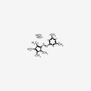 CC1=C(C)C(C)[C]([Ti][O]c2cc(C)cc(C)c2)=C1C.Cl.Cl